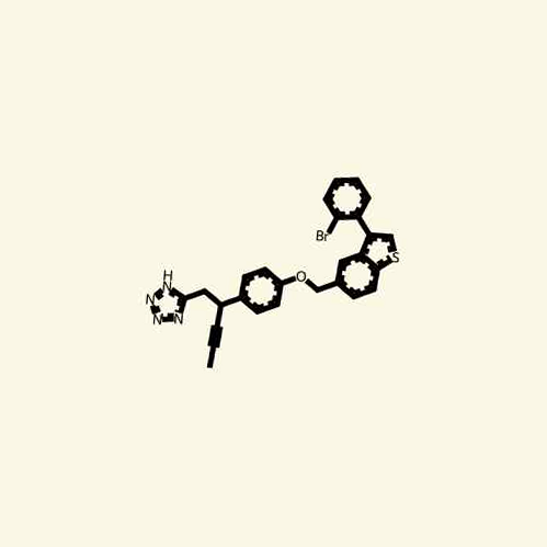 CC#CC(Cc1nnn[nH]1)c1ccc(OCc2ccc3scc(-c4ccccc4Br)c3c2)cc1